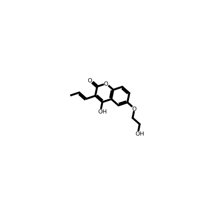 CC=Cc1c(O)c2cc(OCCO)ccc2oc1=O